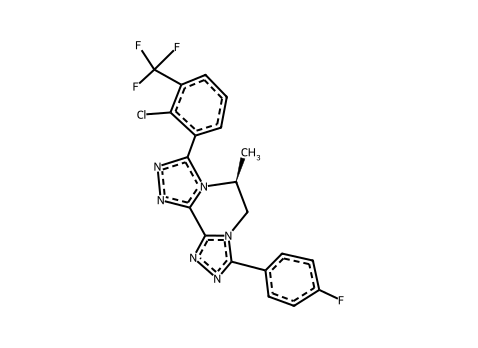 C[C@H]1Cn2c(-c3ccc(F)cc3)nnc2-c2nnc(-c3cccc(C(F)(F)F)c3Cl)n21